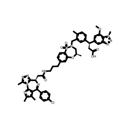 COc1cc([C@@H](CC(=O)O)c2ccc(C)c(CN3C[C@@H](C)Oc4cc(CCCNC(=O)C[C@H]5N=C(c6ccc(Cl)cc6)c6c(sc(C)c6C)-n6c(C)nnc65)ccc4S3(=O)=O)c2)cc2nnn(C)c12